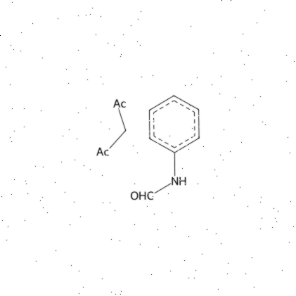 CC(=O)CC(C)=O.O=CNc1ccccc1